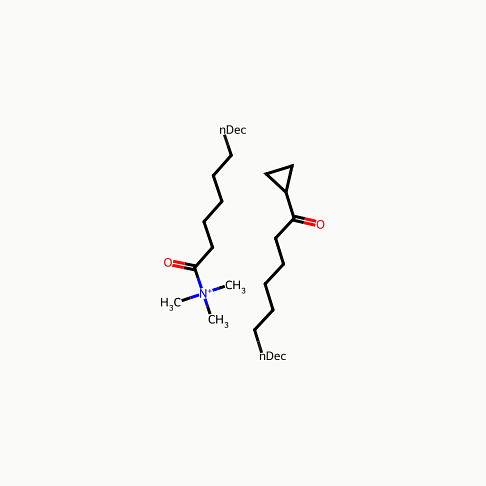 CCCCCCCCCCCCCCCC(=O)C1CC1.CCCCCCCCCCCCCCCC(=O)[N+](C)(C)C